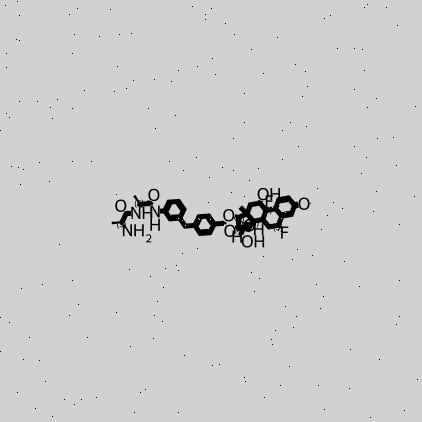 C[C@H](N)C(=O)N[C@@H](C)C(=O)Nc1cccc(Cc2ccc(C3O[C@@H]4C[C@H]5C6C[C@H](F)C7=CC(=O)C=CC7[C@@]6(F)C(O)CC5(C)[C@]4(C(=O)CO)O3)cc2)c1